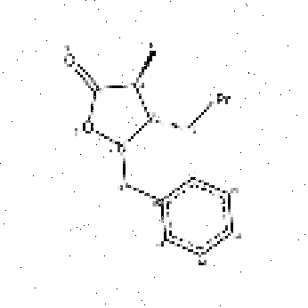 CC(C)C[C@H]1[C@H](C)C(=O)ON1Cc1ccccc1